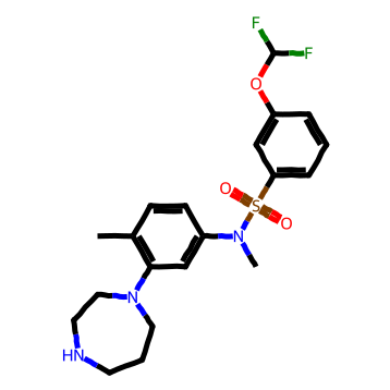 Cc1ccc(N(C)S(=O)(=O)c2cccc(OC(F)F)c2)cc1N1CCCNCC1